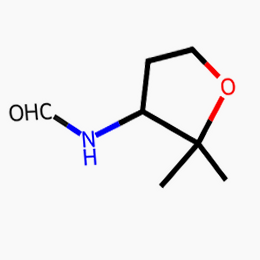 CC1(C)OCCC1NC=O